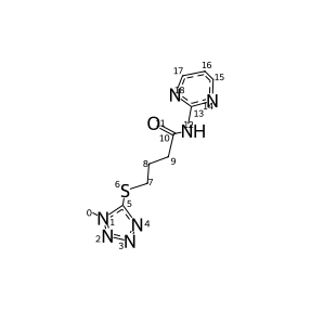 Cn1nnnc1SCCCC(=O)Nc1ncccn1